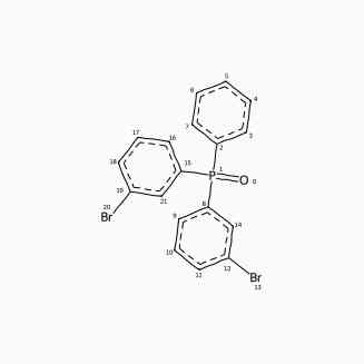 O=P(c1ccccc1)(c1cccc(Br)c1)c1cccc(Br)c1